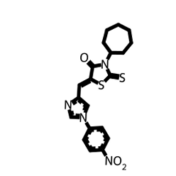 O=C1/C(=C/c2cn(-c3ccc([N+](=O)[O-])cc3)cn2)SC(=S)N1C1CCCCCC1